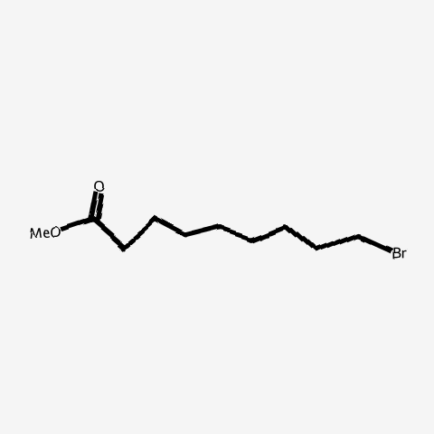 COC(=O)CCCCCCCCBr